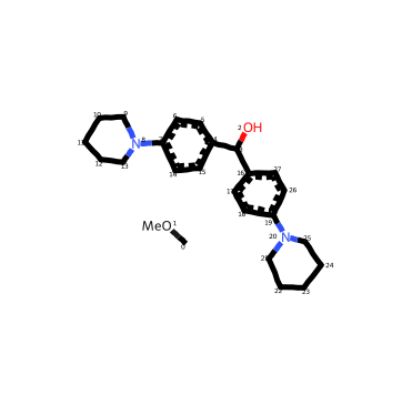 COC.OC(c1ccc(N2CCCCC2)cc1)c1ccc(N2CCCCC2)cc1